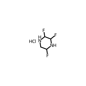 Cl.FC1CNC(F)C(F)N1